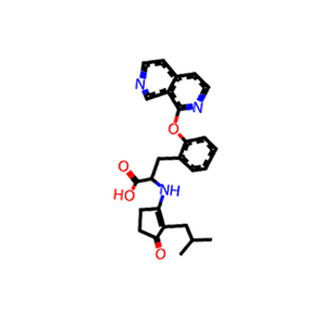 CC(C)CC1=C(NC(Cc2ccccc2Oc2nccc3ccncc23)C(=O)O)CCC1=O